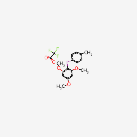 COc1cc(OC)c([I+]c2ccc(C)cc2)c(OC)c1.O=C([O-])C(F)(F)F